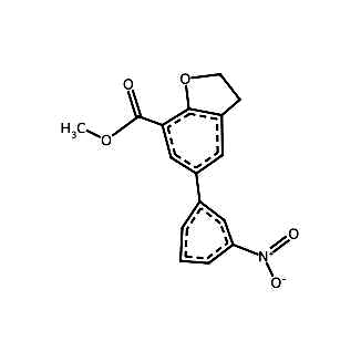 COC(=O)c1cc(-c2cccc([N+](=O)[O-])c2)cc2c1OCC2